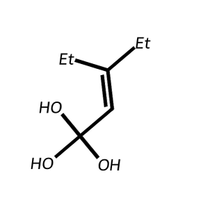 CCC(=CC(O)(O)O)CC